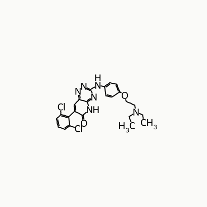 CCN(CC)CCOc1ccc(Nc2nnc3cc(-c4c(Cl)cccc4Cl)c(=O)[nH]c3n2)cc1